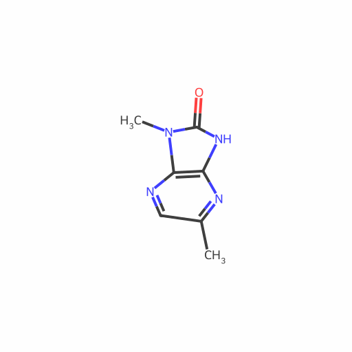 Cc1cnc2c(n1)[nH]c(=O)n2C